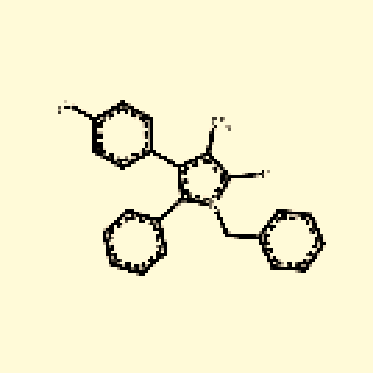 Cc1ccc(-c2c(C(F)(F)F)c(Br)n(Cc3ccccc3)c2-c2ccccc2)cc1